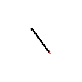 CC(C)(C)CCCCCCCCCCCCCCCCCCCCC[C]=O